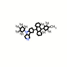 [2H]c1c([2H])c([2H])c(-n2c3ccncc3c3cc(-c4c5ccccc5c(-c5c([2H])c([2H])c(C)c([2H])c5[2H])c5ccccc45)ccc32)c([2H])c1[2H]